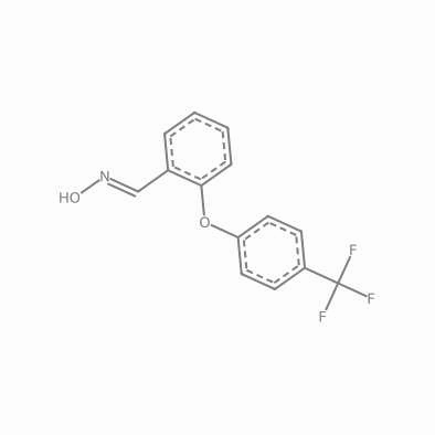 ON=Cc1ccccc1Oc1ccc(C(F)(F)F)cc1